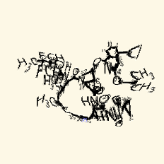 CC(C)Oc1cc2c(Cl)cccc2c(O[C@@H]2C[C@H]3C(=O)N[C@]4(C(=O)NS(=O)(=O)C5CC5)CC4/C=C\CC[C@@H](C)C[C@@H](C)[C@H](NC(=O)OC(C)(C)C(C)(F)F)C(=O)N3C2)n1